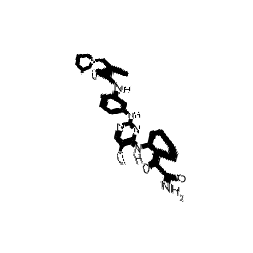 C=C(CN1CCCCC1)C(=O)Nc1cccc(Nc2ncc(Cl)c(Nc3ccccc3C(=O)C(N)=O)n2)c1